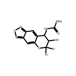 CCC1(CC)Oc2cc3nonc3cc2C(NC(=O)NC)C1O